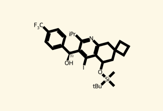 CC(C)c1nc2c(c(I)c1[C@@H](O)c1ccc(C(F)(F)F)cc1)C(O[Si](C)(C)C(C)(C)C)CC1(CCC1)C2